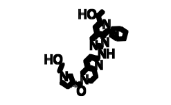 CC(O)c1cc2cnc(Nc3ccc4c(n3)CCN(C(=O)[C@H]3CCN(CCO)C3)C4)nc2c(N2C3CCC2CC3)n1